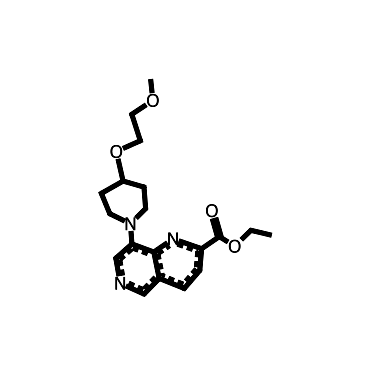 CCOC(=O)c1ccc2cncc(N3CCC(OCCOC)CC3)c2n1